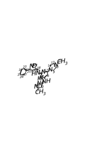 Cc1cc(Nc2cc(N3CCN(C)CC3)nc(NCC3CC(c4ccccc4)=NO3)n2)[nH]n1